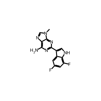 Cn1cnc2c(N)nc(-c3c[nH]c4c(F)cc(F)cc34)nc21